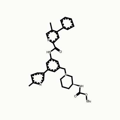 Cc1ccc(-c2cc(CN3CCC[C@H](NC(=O)OC(C)(C)C)C3)cc(NC(=O)c3cc(-c4ccccc4)c(C)cn3)c2)cn1